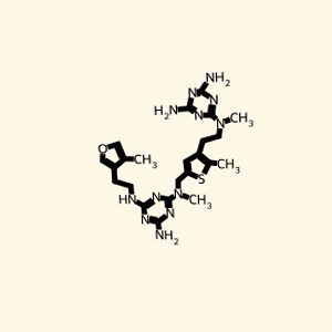 Cc1cocc1CCNc1nc(N)nc(N(C)Cc2cc(CCN(C)c3nc(N)nc(N)n3)c(C)s2)n1